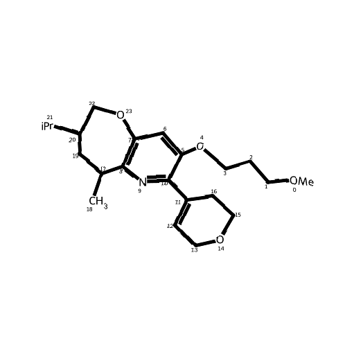 COCCCOc1cc2c(nc1C1=CCOCC1)C(C)CC(C(C)C)CO2